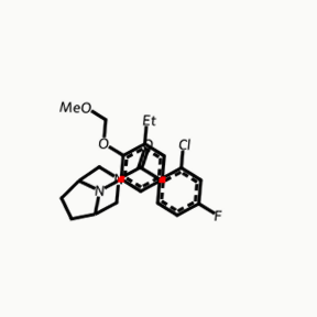 CCc1cccc(N2C3CCC2CN(C(=O)c2ccc(F)cc2Cl)C3)c1OCOC